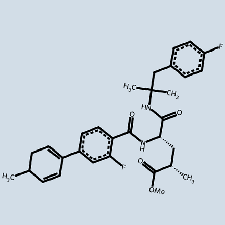 COC(=O)[C@@H](C)C[C@H](NC(=O)c1ccc(C2=CCC(C)C=C2)cc1F)C(=O)NC(C)(C)Cc1ccc(F)cc1